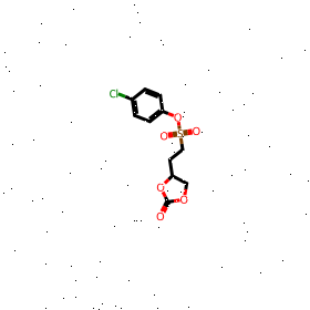 O=C1OCC(CCS(=O)(=O)Oc2ccc(Cl)cc2)O1